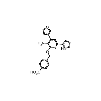 Nc1c(-c2ccoc2)cc(-c2ccc[nH]2)nc1OCc1ccc(C(=O)O)cc1